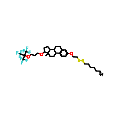 [2H]CCCCCCSSCCOc1ccc2c(c1)CCC1C2CCC2(C)C(OCCCOC(C(F)(F)F)(C(F)(F)F)C(F)(F)F)CCC12